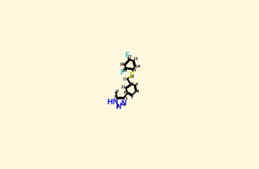 Cc1[nH]nnc1-c1cccc(CSc2ccc(F)cc2F)c1